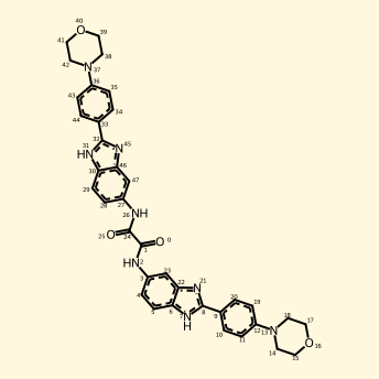 O=C(Nc1ccc2[nH]c(-c3ccc(N4CCOCC4)cc3)nc2c1)C(=O)Nc1ccc2[nH]c(-c3ccc(N4CCOCC4)cc3)nc2c1